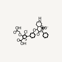 O=C(O)COc1c(C(=O)O)sc(-c2cccc(OC(C(=O)N(c3ccccc3)[N+](=O)[O-])C3CCNCC3)c2)c1Cl